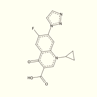 O=C(O)c1cn(C2CC2)c2cc(-n3ccnn3)c(F)cc2c1=O